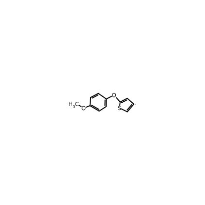 COc1ccc(Oc2c[c]cs2)cc1